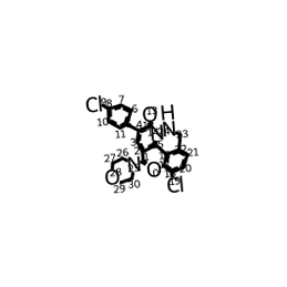 O=C(c1cc(-c2ccc(Cl)cc2)c(=O)n2c1-c1cc(Cl)ccc1CN2)N1CCOCC1